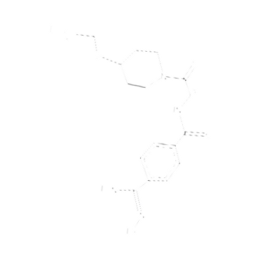 CCOC(=O)COC1CCN(C(=O)[C@H](C)NC(=O)c2ccc(/C(N)=N/O)cc2)CC1